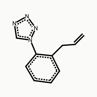 C=CCc1ccccc1-n1cnnn1